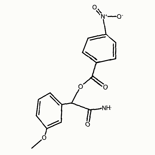 COc1cccc(C(OC(=O)c2ccc([N+](=O)[O-])cc2)C([NH])=O)c1